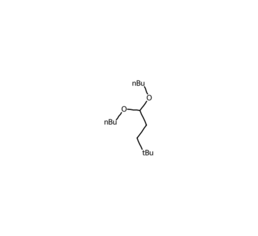 CCCCOC(CCC(C)(C)C)OCCCC